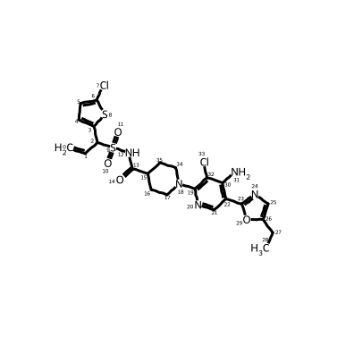 C=CC(c1ccc(Cl)s1)S(=O)(=O)NC(=O)C1CCN(c2ncc(-c3ncc(CC)o3)c(N)c2Cl)CC1